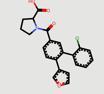 O=C(O)C1CCCN1C(=O)c1ccc(-c2ccoc2)c(-c2ccccc2Cl)c1